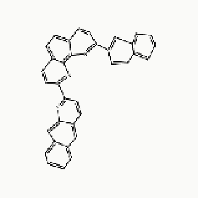 c1ccc2cc(-c3ccc4ccc5ccc(-c6ccc7cc8ccccc8cc7n6)nc5c4n3)ccc2c1